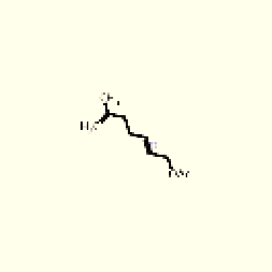 C=C(C)CC/C=C/COC(C)=O